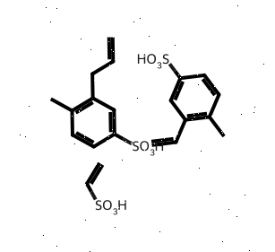 C=CCc1cc(S(=O)(=O)O)ccc1C.C=CS(=O)(=O)O.C=Cc1cc(S(=O)(=O)O)ccc1C